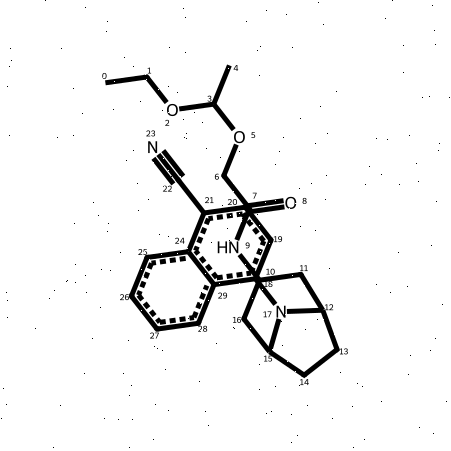 CCOC(C)OCC(=O)NC1CC2CCC(C1)N2c1ccc(C#N)c2ccccc12